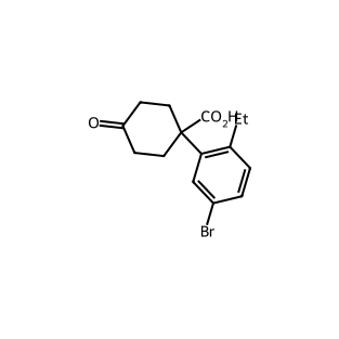 CCc1ccc(Br)cc1C1(C(=O)O)CCC(=O)CC1